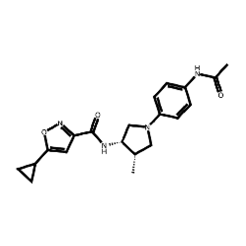 CC(=O)Nc1ccc(N2C[C@H](C)[C@H](NC(=O)c3cc(C4CC4)on3)C2)cc1